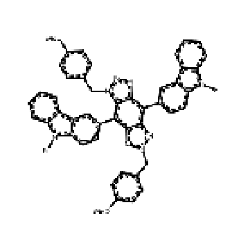 CCn1c2ccccc2c2cc(-c3c4nn(Cc5ccc(OC)cc5)nc4c(-c4ccc5c(c4)c4ccccc4n5CC)c4c3nnn4Cc3ccc(OC)cc3)ccc21